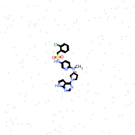 CN(c1ccc(NS(=O)(=O)Cc2ccccc2Cl)cn1)[C@@H]1CCN(c2ncnc3[nH]ccc23)C1